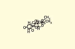 CC(C)O[P@@]1(=S)OC[C@H]2O[C@@H](n3ccc(=O)[nH]c3=O)[C@](C)(Cl)[C@@H]2O1